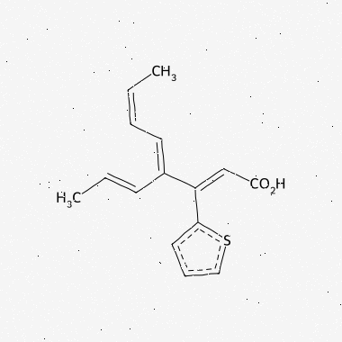 C\C=C/C=C(\C=C\C)C(=C/C(=O)O)/c1cccs1